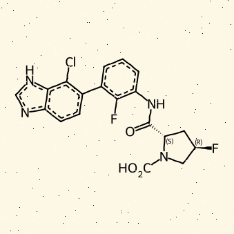 O=C(Nc1cccc(-c2ccc3nc[nH]c3c2Cl)c1F)[C@@H]1C[C@@H](F)CN1C(=O)O